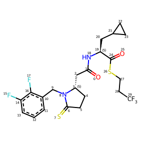 O=C(C[C@@H]1CCC(=S)N1Cc1cccc(F)c1F)N[C@@H](CC1CC1)C(=O)SCCC(F)(F)F